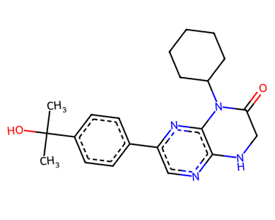 CC(C)(O)c1ccc(-c2cnc3c(n2)N(C2CCCCC2)C(=O)CN3)cc1